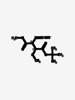 COC(=O)[C@@H](N=[N+]=[N-])[C@H](OC)C(=O)OC(C)(C)C